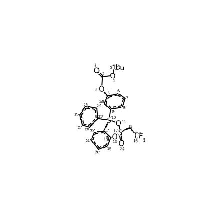 CC(C)(C)OC(=O)Oc1cccc(S(OS(=O)(=O)CC(F)(F)F)(c2ccccc2)c2ccccc2)c1